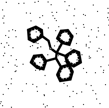 c1ccc(COC(c2ccccc2)(c2ccccc2)C(c2ccccc2)c2ccccc2)cc1